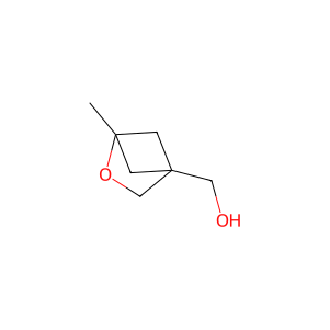 CC12CC(CO)(CO1)C2